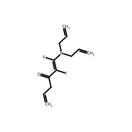 C=CCC(=O)C(F)=C(F)N(CC=C)CC=C